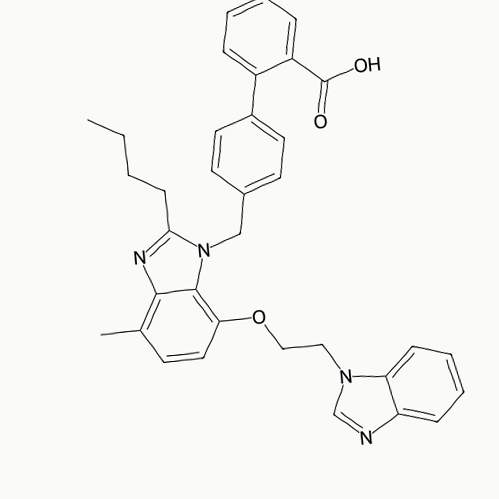 CCCCc1nc2c(C)ccc(OCCn3cnc4ccccc43)c2n1Cc1ccc(-c2ccccc2C(=O)O)cc1